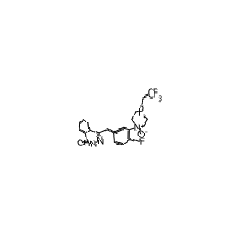 O=c1[nH]nc(Cc2ccc(F)c([N+]3([O-])CCP(CC(F)(F)F)CC3)c2)c2ccccc12